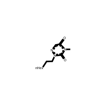 CCCCCCCCn1ncc(=O)n(C)c1=O